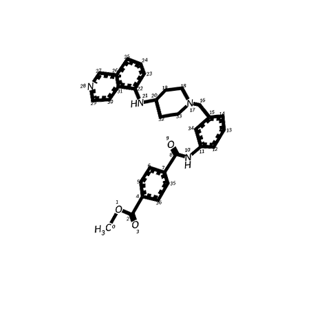 COC(=O)c1ccc(C(=O)Nc2cccc(CN3CCC(Nc4cccc5cnccc45)CC3)c2)cc1